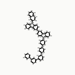 c1ccc(-c2cccc(-c3cccc(-c4ccc(-c5ccc(-n6c7ccccc7c7cc(-c8ccc9c(c8)c8ccccc8n9-c8ccc9ccccc9c8)ccc76)cc5)cc4)c3)c2)cc1